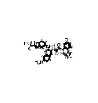 Nc1ccc(CC(NC(=O)C(=O)Nc2cc(Cl)ccc2-n2cnnn2)C(=O)Nc2ccc3[nH]c(C(=O)O)cc3c2)cc1